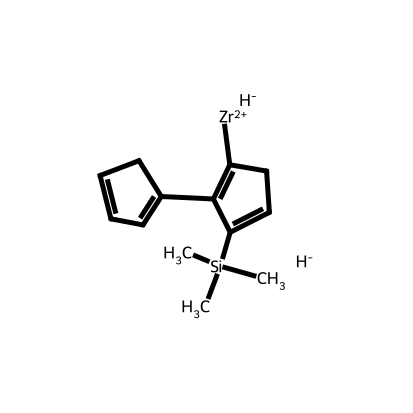 C[Si](C)(C)C1=CC[C]([Zr+2])=C1C1=CC=CC1.[H-].[H-]